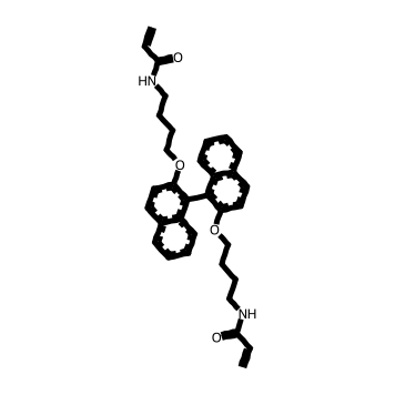 C=CC(=O)NCCCCOc1ccc2ccccc2c1-c1c(OCCCCNC(=O)C=C)ccc2ccccc12